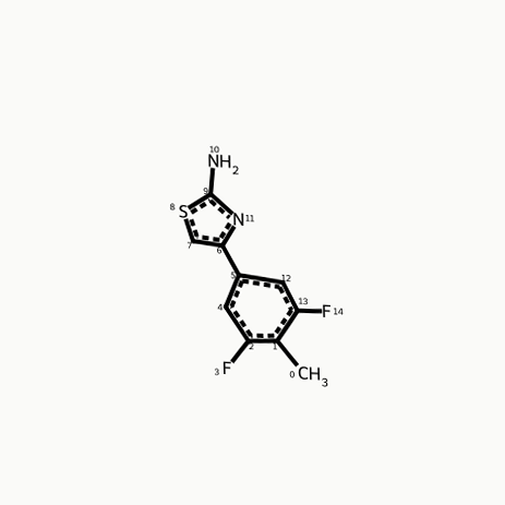 Cc1c(F)cc(-c2csc(N)n2)cc1F